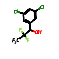 OC(c1cc(Cl)cc(Cl)c1)C(F)(F)C(F)(F)F